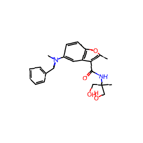 Cc1oc2ccc(N(C)Cc3ccccc3)cc2c1C(=O)NC(C)(CO)CO